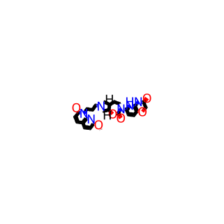 COc1ccc2ccc(=O)n(CCCN3C[C@H]4CCN(c5ccc6c(n5)NC(=O)CO6)C(=O)O[C@H]4C3)c2n1